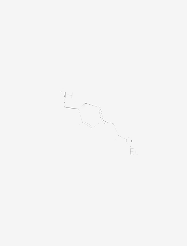 CCOCCc1ccc(CN)cc1